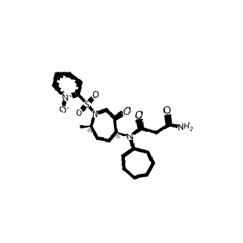 C[C@@H]1CC[C@H](N(C(=O)[CH]C(N)=O)C2CCCCCC2)C(=O)CN1S(=O)(=O)c1cccc[n+]1[O-]